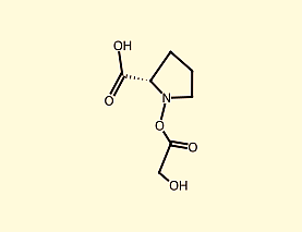 O=C(CO)ON1CCC[C@H]1C(=O)O